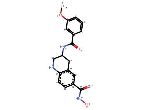 COC1=C=C=CC(C(=O)NC2CNc3ccc(C(=O)NO)cc3C2)=C1